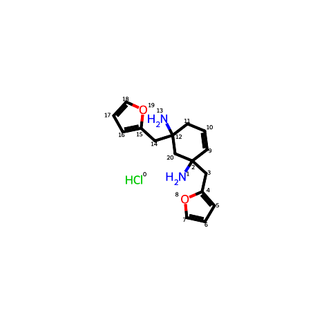 Cl.NC1(Cc2ccco2)C=CCC(N)(Cc2ccco2)C1